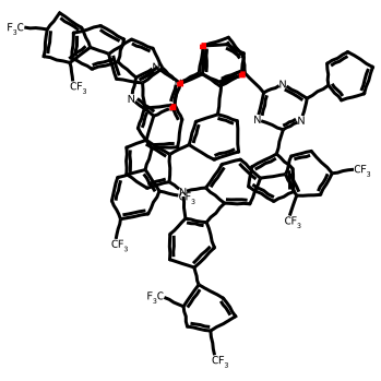 FC(F)(F)c1ccc(-c2ccc3c(c2)c2cc(-c4ccc(C(F)(F)F)cc4C(F)(F)F)ccc2n3-c2cccc(-c3nc(-c4ccccc4)nc(-c4ccccc4)n3)c2-c2cccc(-c3c(-c4nc(-c5ccccc5)nc(-c5ccccc5)n4)cccc3-n3c4ccc(-c5ccc(C(F)(F)F)cc5C(F)(F)F)cc4c4cc(-c5ccc(C(F)(F)F)cc5C(F)(F)F)ccc43)c2)c(C(F)(F)F)c1